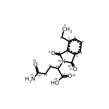 CCc1cccc2c1C(=O)N(C(CCC(N)=O)C(=O)O)C2=O